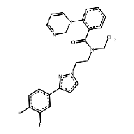 CCN(CCn1ccc(-c2ccc(F)c(F)c2)n1)C(=O)c1ccccc1N1C=CC=NC1